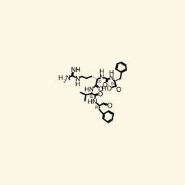 CC(C)[C@H](NC(=O)[C@H](CCCNC(=N)N)NC(=O)N[C@@H](Cc1ccccc1)C(=O)O)C(=O)N[C@@H](C=O)Cc1ccccc1